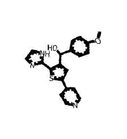 COc1ccc(C(O)c2cc(-c3ccncc3)sc2-c2ncc[nH]2)cc1